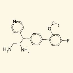 COc1cc(F)ccc1-c1ccc(C(c2ccncc2)C(N)CN)cc1